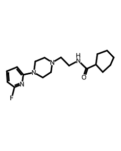 O=C(NCCN1CCN(c2cccc(F)n2)CC1)C1CCCCC1